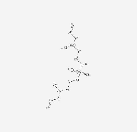 C=CC[S+]([O-])CCOS(=O)(=O)OCC[S+]([O-])CC=C